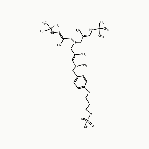 CC(C)(C)N/C=C(\N)CN(C/C(N)=C/NC(C)(C)C)C/C(N)=C/N(N)Cc1ccc(OCCCOS(=O)(=O)O)cc1